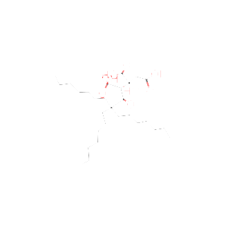 CCCCCCCC(CCCCCCC)(CCCCCCC)C(=O)C(C(=O)O)C(O)(CC(=O)O)C(=O)O